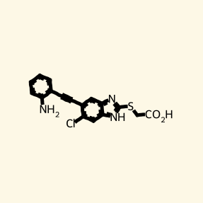 Nc1ccccc1C#Cc1cc2nc(SCC(=O)O)[nH]c2cc1Cl